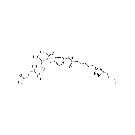 CN(C(=O)N[C@@H](CCC(=O)O)C(=O)O)[C@@H](Cc1ccc(NC(=O)CCCCCn2cc(CCCF)nn2)cc1)C(=O)O